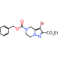 CCOC(=O)c1nn2c(c1Br)CN(C(=O)OCc1ccccc1)CC2